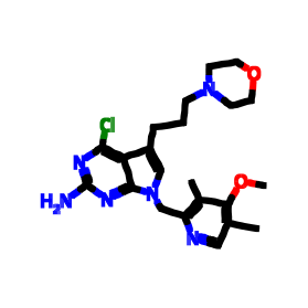 COc1c(C)cnc(Cn2cc(CCCN3CCOCC3)c3c(Cl)nc(N)nc32)c1C